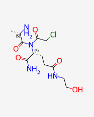 C[C@H](N)C(=O)N(C(=O)CCl)[C@H](CCC(=O)NCCO)C(N)=O